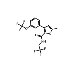 Cc1cc(-c2cccc(OC(F)(F)F)c2)c(C(=O)NCC(F)(F)F)s1